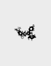 CC1CCCN1c1nc(-c2ccc(F)cc2)cc(N2CCN(c3nc(N(C)C)ccc3Cl)C[C@H]2C)n1